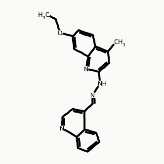 CCOc1ccc2c(C)cc(NN=Cc3ccnc4ccccc34)nc2c1